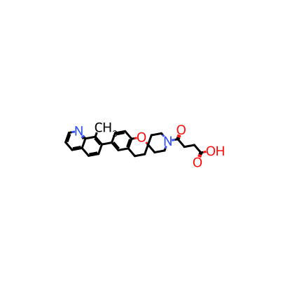 Cc1c(-c2ccc3c(c2)CCC2(CCN(C(=O)CCC(=O)O)CC2)O3)ccc2cccnc12